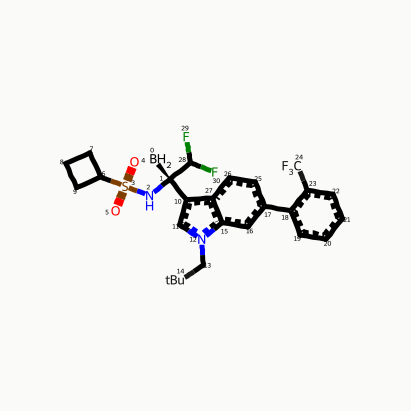 B[C@](NS(=O)(=O)C1CCC1)(c1cn(CC(C)(C)C)c2cc(-c3ccccc3C(F)(F)F)ccc12)C(F)F